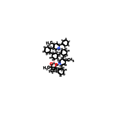 Cc1cc(-c2ccccc2)ncc1-c1ccccc1-c1cc(B2OC(C)(C)C(C)(C)O2)cc(-c2ccccc2-c2cnc(-c3ccccc3)cc2C)c1